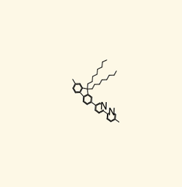 CCCCCCCCC1(CCCCCCCC)c2cc(C)ccc2-c2ccc(-c3ccc(-c4ccc(C)cn4)nc3)cc21